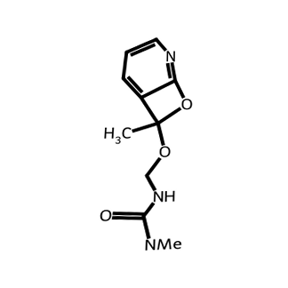 CNC(=O)NCOC1(C)Oc2ncccc21